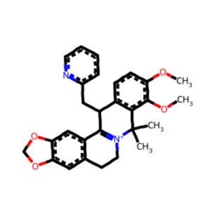 COc1ccc2c(c1OC)C(C)(C)[N+]1=C(c3cc4c(cc3CC1)OCO4)C2Cc1ccccn1